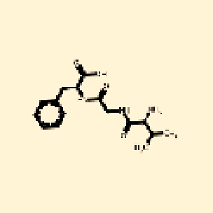 CC(C)[C@H](N)C(=O)NCC(=O)N[C@@H](Cc1ccccc1)C(=O)O